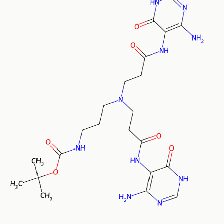 CC(C)(C)OC(=O)NCCCN(CCC(=O)Nc1c(N)nc[nH]c1=O)CCC(=O)Nc1c(N)nc[nH]c1=O